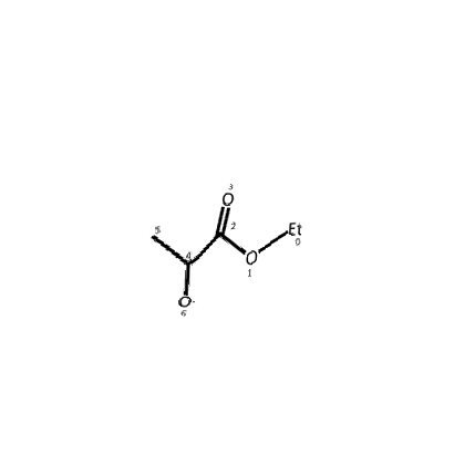 CCOC(=O)C(C)[O]